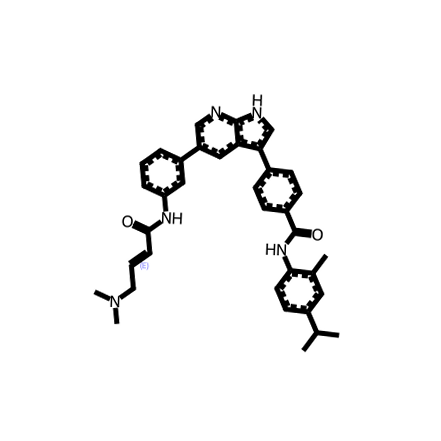 Cc1cc(C(C)C)ccc1NC(=O)c1ccc(-c2c[nH]c3ncc(-c4cccc(NC(=O)/C=C/CN(C)C)c4)cc23)cc1